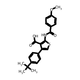 COc1ccc(C(=O)Nc2scc(-c3ccc(C(C)(C)C)cc3)c2C(=O)O)cc1